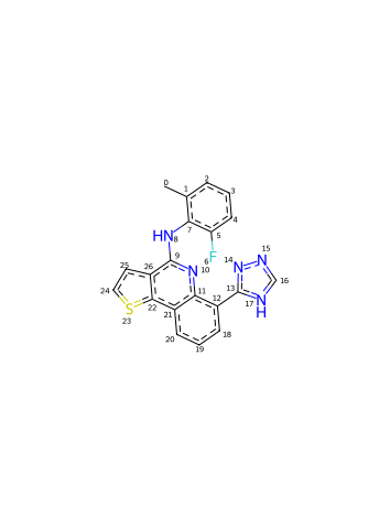 Cc1cccc(F)c1Nc1nc2c(-c3nnc[nH]3)cccc2c2sccc12